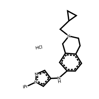 CC(C)n1cc(Nc2ccc3c(c2)CN(CC2CC2)CC3)cn1.Cl